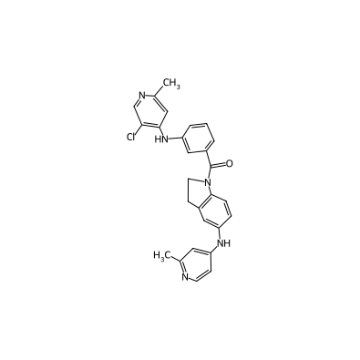 Cc1cc(Nc2ccc3c(c2)CCN3C(=O)c2cccc(Nc3cc(C)ncc3Cl)c2)ccn1